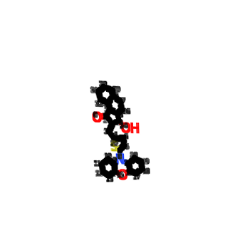 O=C1/C(=C/c2ccc(N3c4ccccc4Oc4ccccc43)s2)C(O)c2ccc3ccccc3c21